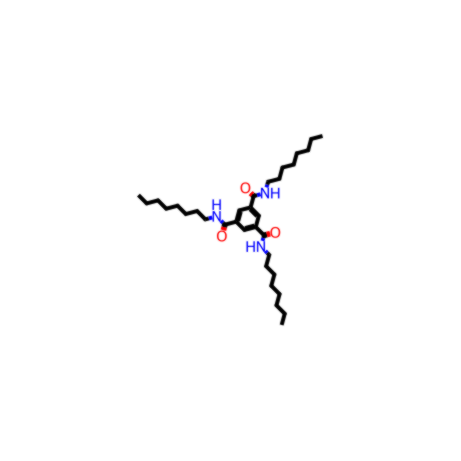 CCCCCCCCNC(=O)c1cc(C(=O)NCCCCCCCC)cc(C(=O)NCCCCCCCC)c1